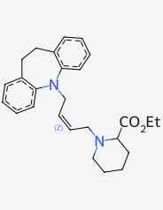 CCOC(=O)C1CCCCN1C/C=C\CN1c2ccccc2CCc2ccccc21